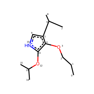 CCCOc1c(C(C)C)c[nH]c1OC(C)C